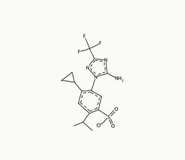 CC(C)c1cc(C2CC2)c(-n2nc(C(F)(F)F)nc2N)cc1S(=O)(=O)Cl